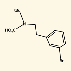 CC(C)(C)N(CCc1cccc(Br)c1)C(=O)O